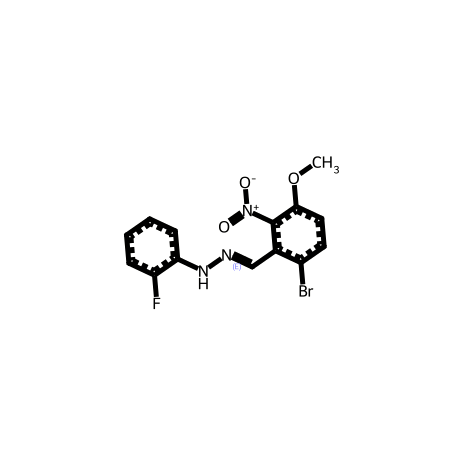 COc1ccc(Br)c(/C=N/Nc2ccccc2F)c1[N+](=O)[O-]